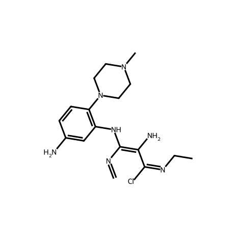 C=N/C(Nc1cc(N)ccc1N1CCN(C)CC1)=C(N)\C(Cl)=N/CC